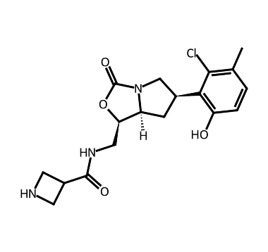 Cc1ccc(O)c([C@H]2C[C@H]3[C@@H](CNC(=O)C4CNC4)OC(=O)N3C2)c1Cl